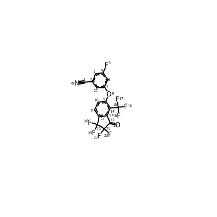 N#Cc1cc(F)cc(Oc2ccc3c(c2C(F)(F)F)C(=O)C(F)(F)C3(F)F)c1